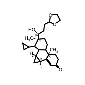 C[C@]12CCC(=O)C=C1[C@@H]1C[C@@H]1C1C2CC[C@](C)([C@H](O)CCC2OCCO2)C1C1CC1